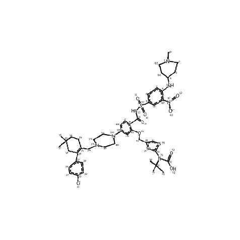 CN1CCC(Nc2ccc(S(=O)(=O)NC(=O)c3ccc(N4CCN(CC5=C(c6ccc(Cl)cc6)CC(C)(C)CC5)CC4)cc3OCc3csc(N(C(=O)O)C(C)(C)C)n3)cc2[N+](=O)[O-])CC1